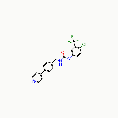 O=C(NCc1ccc(-c2ccncc2)cc1)Nc1ccc(Cl)c(C(F)(F)F)c1